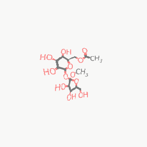 CO[C@@]1(OC2O[C@H](COC(C)=O)C(O)[C@H](O)C2O)OC(CO)[C@@H](O)C1O